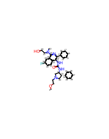 COCCN1C[C@@H](NC(=O)Nc2c(-c3ccccc3)nc(N(C)CCO)c3cc(F)ccc23)[C@H](c2ccccc2)C1